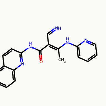 C/C(Nc1ccccn1)=C(/C=N)C(=O)Nc1ccc2ccccc2n1